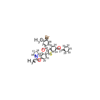 Cc1cc(C(=O)c2c(-c3ccc(OC(C)N4CCCC4)cc3)sc3cc(OCc4ccccc4)ccc23)ccc1Br